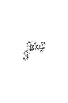 COc1cccc(CNc2c(C)c(C(=O)c3ccc([N+](=O)[O-])c(OC)c3)n3ccccc23)c1